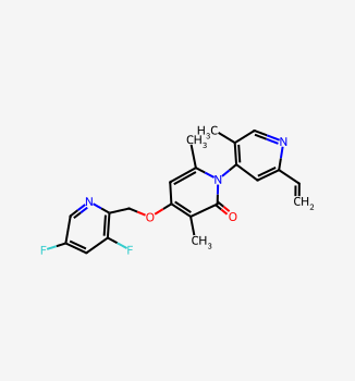 C=Cc1cc(-n2c(C)cc(OCc3ncc(F)cc3F)c(C)c2=O)c(C)cn1